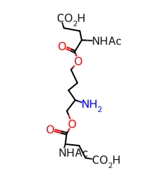 CC(=O)NC(CCC(=O)O)C(=O)OCCCC(N)COC(=O)C(CCC(=O)O)NC(C)=O